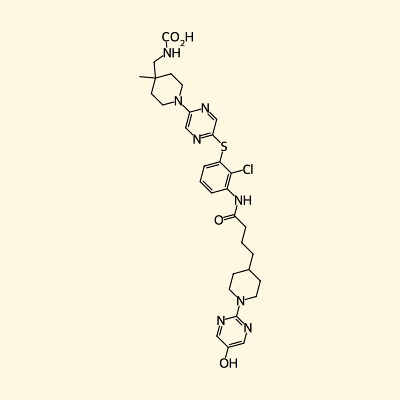 CC1(CNC(=O)O)CCN(c2cnc(Sc3cccc(NC(=O)CCCC4CCN(c5ncc(O)cn5)CC4)c3Cl)cn2)CC1